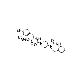 CCc1ccc(CC(NC(=O)N2CCC(N3CCc4ccccc4NC3=O)CC2)C(=O)OC)cc1CC